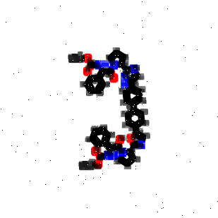 CC(C)(C)OC(=O)N[C@@H](C(=O)N1CCC[C@H]1c1ncc(-c2ccc(C3CCC(c4cnc([C@@H]5CCCN5C(=O)[C@H](NC(=O)OC(C)(C)C)c5ccccc5)o4)CC3)cc2)[nH]1)c1ccccc1